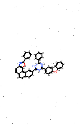 c1ccc(-c2nc3ccc4ccc5ccc(C6=NC(c7ccc8oc9ccccc9c8c7)=NC(c7ccccc7)N6)cc5c4c3o2)cc1